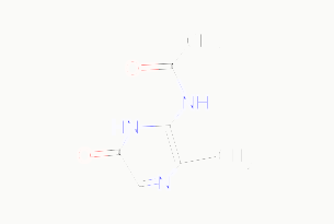 [CH2]c1ncc(=O)[nH]c1NC(C)=O